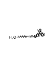 CCCCCCCCCCCCCCCCCCOc1ccc(C(c2ccccc2)c2ccccc2)cc1